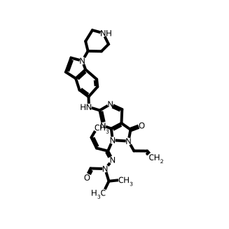 C=CCn1c(=O)c2cnc(Nc3ccc4c(ccn4C4CCNCC4)c3)nc2n1C(/C=C\C)=N/N(C=O)C(C)C